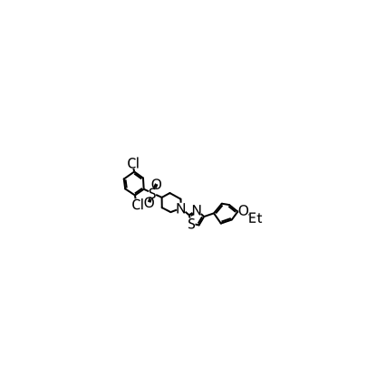 CCOc1ccc(-c2csc(N3CCC(S(=O)(=O)c4cc(Cl)ccc4Cl)CC3)n2)cc1